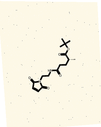 C[C@H](CCC(=O)NCCN1C(=O)C=CC1=O)C(=O)OC(C)(C)C